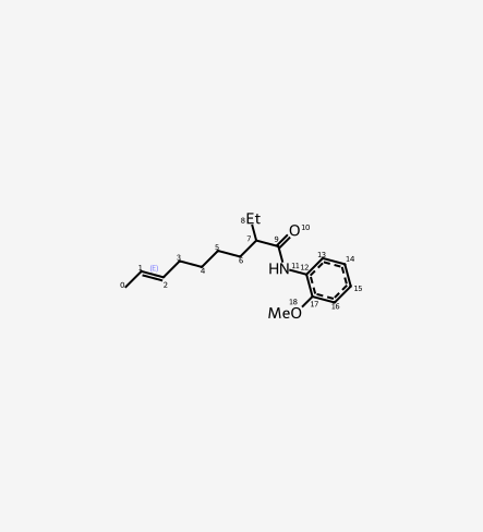 C/C=C/CCCCC(CC)C(=O)Nc1ccccc1OC